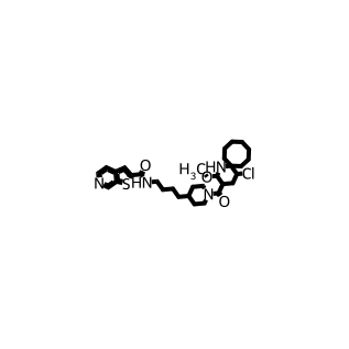 COC1NC2(CCCCCCC2)C(Cl)CC1C(=O)N1CCC(CCCCNC(=O)c2cc3ccncc3s2)CC1